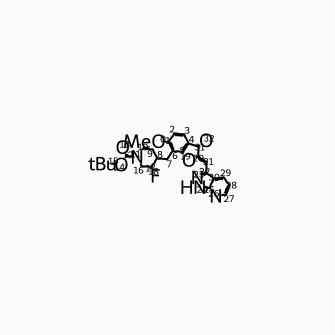 COc1ccc2c(c1CC1CCN(C(=O)OC(C)(C)C)CC1F)OC(=Cc1n[nH]c3ncccc13)C2=O